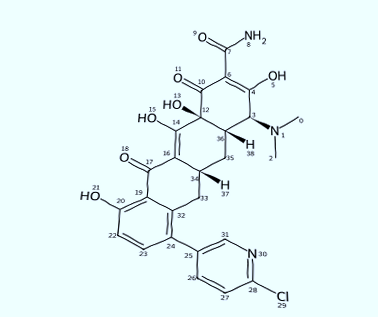 CN(C)[C@@H]1C(O)=C(C(N)=O)C(=O)[C@@]2(O)C(O)=C3C(=O)c4c(O)ccc(-c5ccc(Cl)nc5)c4C[C@H]3C[C@@H]12